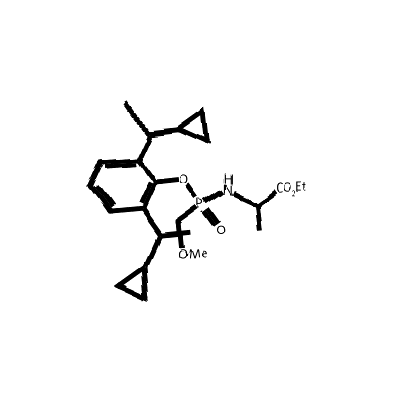 CCOC(=O)C(C)NP(=O)(COC)Oc1c(C(C)C2CC2)cccc1C(C)C1CC1